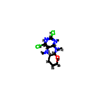 C=Nc1c(Cl)nc(Cl)nc1N(C)C1CCCCO1